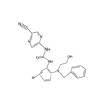 N#Cc1cnc(NC(=O)Nc2cc(Br)ccc2N(CCO)Cc2ccccc2)cn1